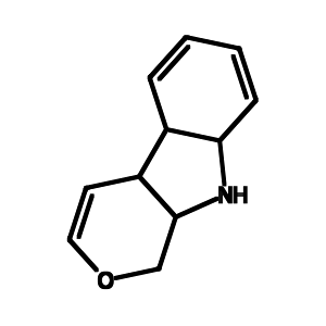 C1=CC2NC3COC=CC3C2C=C1